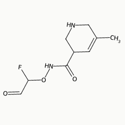 CC1=CC(C(=O)NOC(F)C=O)CNC1